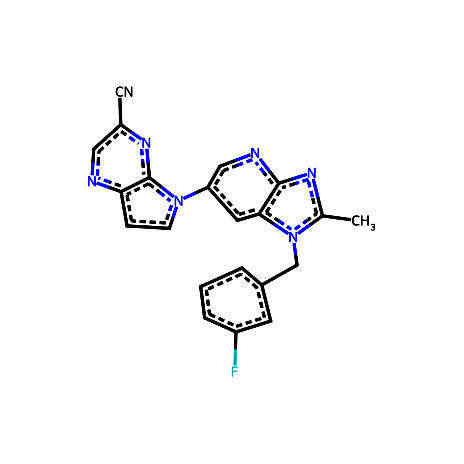 Cc1nc2ncc(-n3ccc4ncc(C#N)nc43)cc2n1Cc1cccc(F)c1